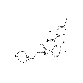 Cc1cc(I)ccc1Nc1c(C(=O)NCCN2CCOCC2)ccc(F)c1F